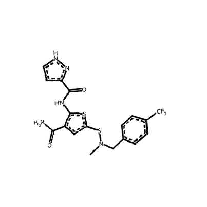 CN(Cc1ccc(C(F)(F)F)cc1)Sc1cc(C(N)=O)c(NC(=O)c2cc[nH]n2)s1